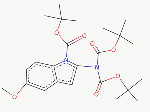 COc1ccc2c(c1)cc(N(C(=O)OC(C)(C)C)C(=O)OC(C)(C)C)n2C(=O)OC(C)(C)C